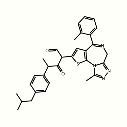 Cc1ccccc1C1=NCc2nnc(C)n2-c2sc(C(C=O)C(=O)C(C)c3ccc(CC(C)C)cc3)cc21